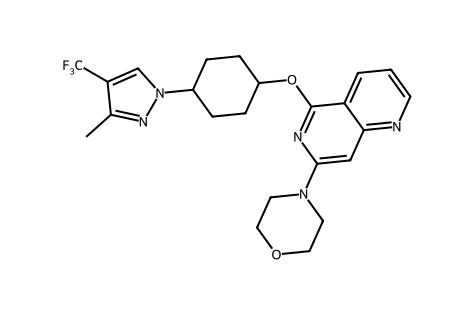 Cc1nn(C2CCC(Oc3nc(N4CCOCC4)cc4ncccc34)CC2)cc1C(F)(F)F